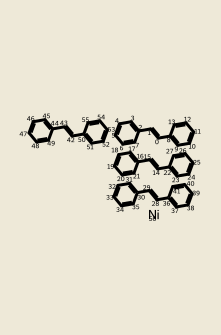 C(=Cc1ccccc1)c1ccccc1.C(=Cc1ccccc1)c1ccccc1.C(=Cc1ccccc1)c1ccccc1.C(=Cc1ccccc1)c1ccccc1.[Ni]